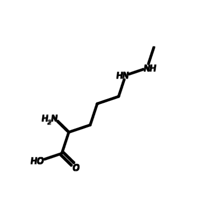 CNNCCCC(N)C(=O)O